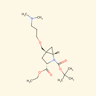 CCOC(=O)[C@@H]1C[C@]2(COCCCN(C)C)C[C@@H]2N1C(=O)OC(C)(C)C